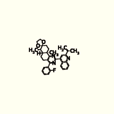 C=C(C)c1cc(-c2nc(-c3ccccc3F)c3c(n2)[C@]2(C)CCC4(OCCO4)[C@H](C)[C@H]2CC3)c2ccccc2n1